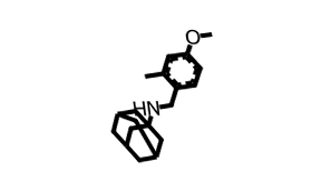 COc1ccc(CNC23CC4CC(CC(C4)C2)C3)c(C)c1